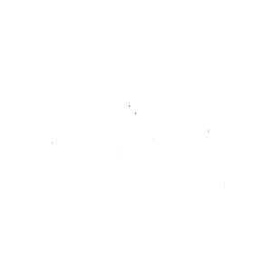 CN(CCO)S(=O)(=O)CC(=O)O